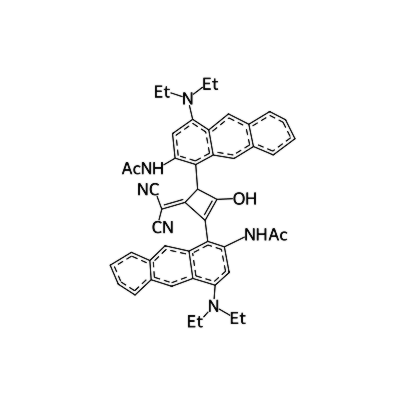 CCN(CC)c1cc(NC(C)=O)c(C2=C(O)C(c3c(NC(C)=O)cc(N(CC)CC)c4cc5ccccc5cc34)C2=C(C#N)C#N)c2cc3ccccc3cc12